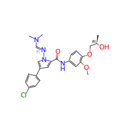 COc1cc(NC(=O)c2cc(-c3ccc(Cl)cc3)cn2/N=C/N(C)C)ccc1OC[C@@H](C)O